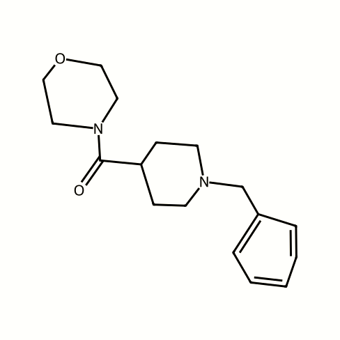 O=C(C1CCN(Cc2ccccc2)CC1)N1CCOCC1